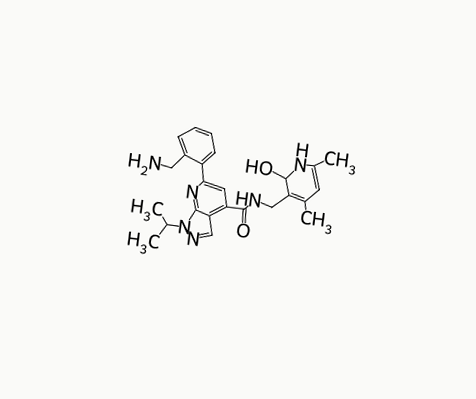 CC1=CC(C)=C(CNC(=O)c2cc(-c3ccccc3CN)nc3c2cnn3C(C)C)C(O)N1